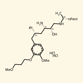 CCCCC[C@@H](C)NC[C@H](O)[C@@H](N)C[C@H](Cc1ccc(OC)c(OCCCOC)c1)C(C)C.Cl.Cl